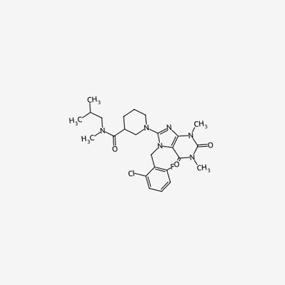 CC(C)CN(C)C(=O)C1CCCN(c2nc3c(c(=O)n(C)c(=O)n3C)n2Cc2c(F)cccc2Cl)C1